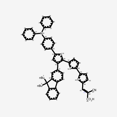 CCCCC1(CCCC)c2ccccc2-c2ccc(-c3cc(-c4ccc(N(c5ccccc5)c5ccccc5)cc4)sc3-c3ccc(-c4ccc(/C=C(\C#N)C(=O)O)s4)s3)cc21